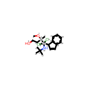 CO[Si](C)(CCO)[Zr]([Cl])([Cl])([NH]C(C)(C)C)[CH]1C=Cc2ccccc21